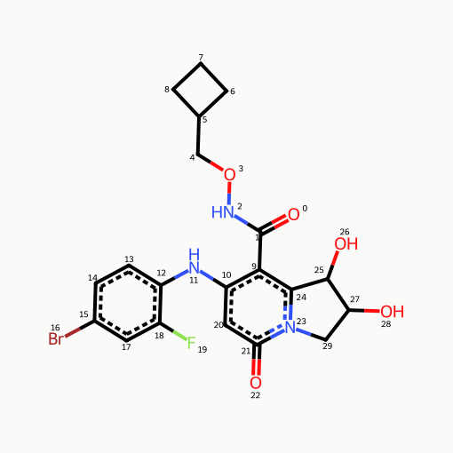 O=C(NOCC1CCC1)c1c(Nc2ccc(Br)cc2F)cc(=O)n2c1C(O)C(O)C2